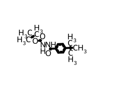 CC(C)(C)OC(=O)NNC(=O)c1ccc(C(C)(C)C)cc1